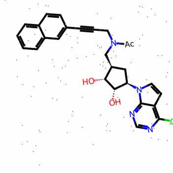 CC(=O)N(CC#Cc1ccc2ccccc2c1)C[C@H]1C[C@@H](n2ccc3c(Cl)ncnc32)[C@H](O)[C@@H]1O